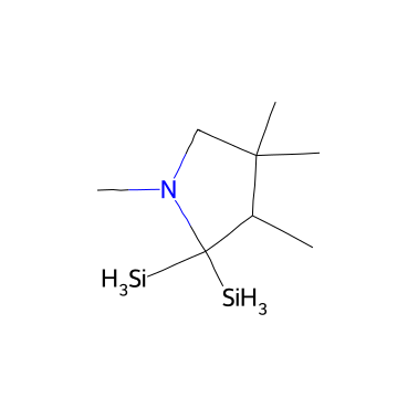 CC1C(C)(C)CN(C)C1([SiH3])[SiH3]